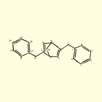 C1=C(Cc2ccccc2)C2C=C(Cc3ccccc3)C1C2